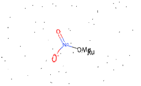 CO[N+](=O)[O-].[Ru]